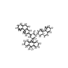 Cc1c(-c2cnc3c(ccc4cccnc43)c2)cc(N2c3ccccc3C(C)(C)c3ccccc32)cc1-c1cnc2c(ccc3cccnc32)c1